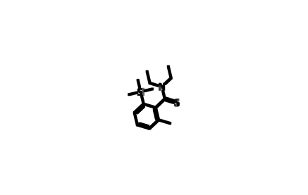 CCN(CC)C(=S)c1c(C)cccc1[Si](C)(C)C